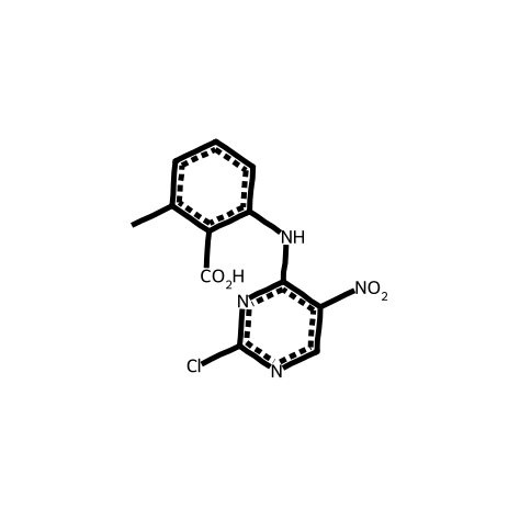 Cc1cccc(Nc2nc(Cl)ncc2[N+](=O)[O-])c1C(=O)O